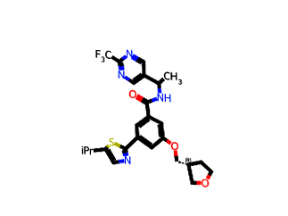 CC(C)c1cnc(-c2cc(OC[C@@H]3CCOC3)cc(C(=O)NC(C)c3cnc(C(F)(F)F)nc3)c2)s1